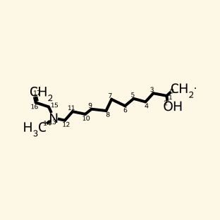 [CH2]C(O)CCCCCCCCCCN(C)CC=C